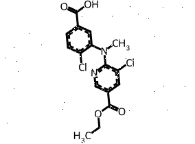 CCOC(=O)c1cnc(N(C)c2cc(C(=O)O)ccc2Cl)c(Cl)c1